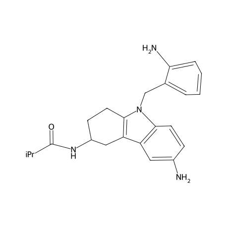 CC(C)C(=O)NC1CCc2c(c3cc(N)ccc3n2Cc2ccccc2N)C1